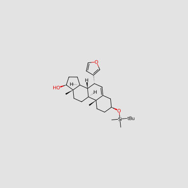 CC(C)(C)[Si](C)(C)O[C@H]1CC[C@@]2(C)C(=C[C@@H](c3ccoc3)[C@H]3[C@@H]4CC[C@H](O)[C@@]4(C)CC[C@@H]32)C1